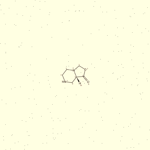 O=C1OCN2CCNC[C@@H]12